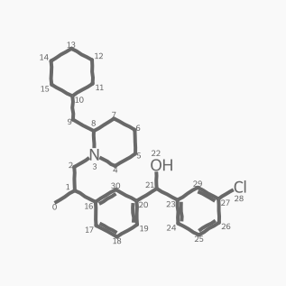 CC(CN1CCCCC1CC1CCCCC1)c1cccc(C(O)c2cccc(Cl)c2)c1